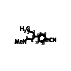 C=CCC(CCNC)c1ccc(C#N)cc1